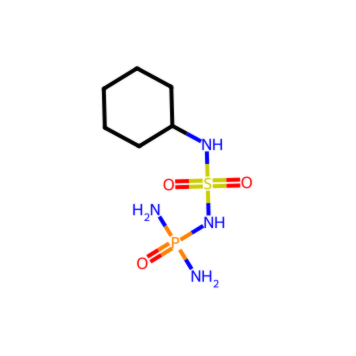 NP(N)(=O)NS(=O)(=O)NC1CCCCC1